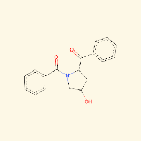 O=C(c1ccccc1)C1CC(O)CN1C(=O)c1ccccc1